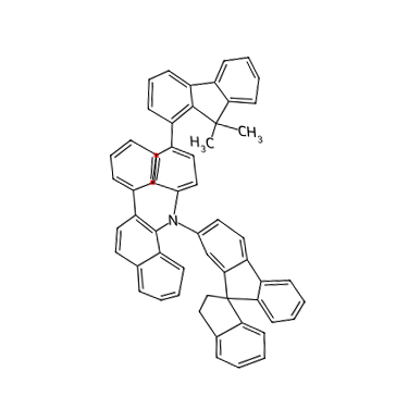 CC1(C)c2ccccc2-c2cccc(-c3ccc(N(c4ccc5c(c4)C4(CCc6ccccc64)c4ccccc4-5)c4c(-c5ccccc5)ccc5ccccc45)cc3)c21